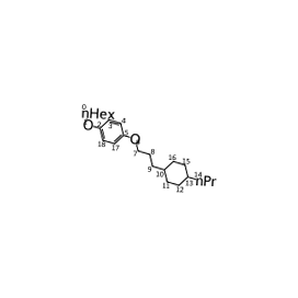 CCCCCCOc1ccc(OCCCC2CCC(CCC)CC2)cc1